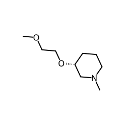 COCCO[C@@H]1CCCN(C)C1